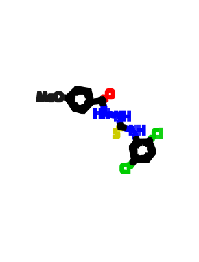 COc1ccc(C(=O)NNC(=S)Nc2cc(Cl)ccc2Cl)cc1